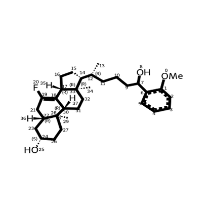 COc1ccccc1C(O)CCC[C@@H](C)[C@H]1CC[C@H]2C3=C(F)C[C@H]4C[C@@H](O)CC[C@]4(C)[C@H]3CC[C@]12C